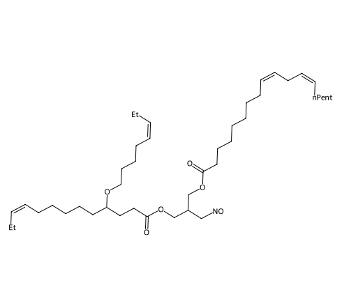 CC/C=C\CCCCCC(CCC(=O)OCC(CN=O)COC(=O)CCCCCCC/C=C\C/C=C\CCCCC)OCCCC/C=C\CC